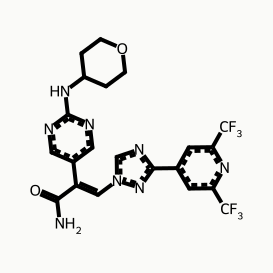 NC(=O)/C(=C/n1cnc(-c2cc(C(F)(F)F)nc(C(F)(F)F)c2)n1)c1cnc(NC2CCOCC2)nc1